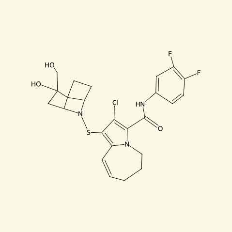 O=C(Nc1ccc(F)c(F)c1)c1c(Cl)c(SN2C3CCC34C2CC4(O)CO)c2n1CCCC=C2